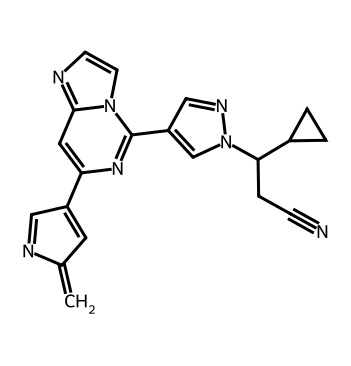 C=C1C=C(c2cc3nccn3c(-c3cnn(C(CC#N)C4CC4)c3)n2)C=N1